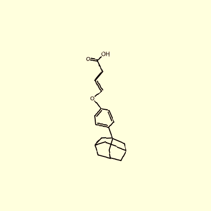 O=C(O)C/C=C/Oc1ccc(C23CC4CC(CC(C4)C2)C3)cc1